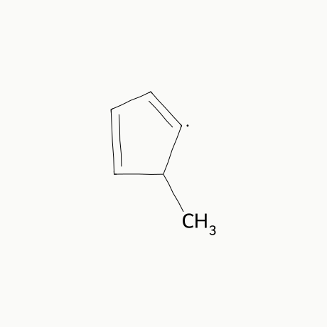 CC1[C]=CC=C1